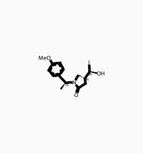 COc1ccc([C@H](C)N2C[C@H]([C@H](O)I)CC2=O)cc1